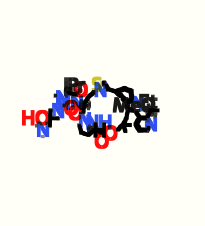 CCn1c(-c2cccnc2[C@H](C)OC)c2c3cc(ccc31)-c1csc(n1)C[C@H](NC(=O)[C@H](C(C)C)N(C)C(=O)N1CC(O)(CN(C)C)C1)C(=O)N1CCC[C@H](N1)C(=O)OCC(C)(C)C2